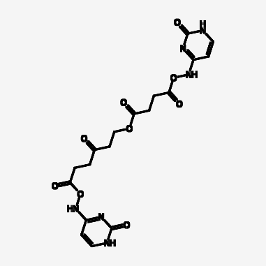 O=C(CCOC(=O)CCC(=O)ONc1cc[nH]c(=O)n1)CCC(=O)ONc1cc[nH]c(=O)n1